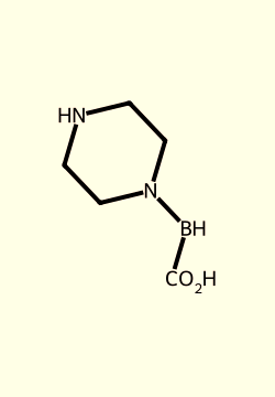 O=C(O)BN1CCNCC1